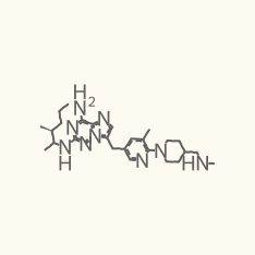 CCC[C@H](C)C(C)Nc1nc(N)c2ncc(Cc3cnc(N4CCC(CNC)CC4)c(C)c3)n2n1